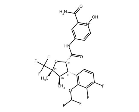 C[C@@H]1[C@@H](c2ccc(F)c(F)c2OC(F)F)[C@@H](C(=O)Nc2cc[n+](O)c(C(N)=O)c2)O[C@@]1(C)C(F)(F)F